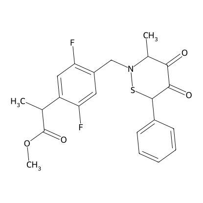 COC(=O)C(C)c1cc(F)c(CN2SC(c3ccccc3)C(=O)C(=O)C2C)cc1F